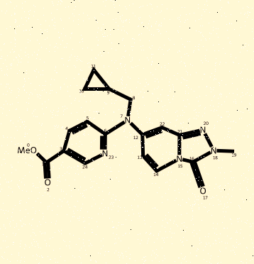 COC(=O)c1ccc(N(CC2CC2)c2ccn3c(=O)n(C)nc3c2)nc1